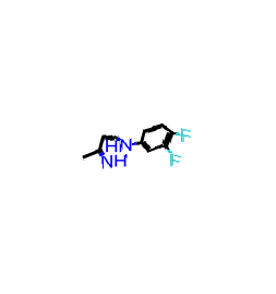 CC(=N)/C=C\Nc1ccc(F)c(F)c1